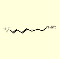 [CH2]C=CC=CCCCCCCCC